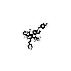 O=C1c2c(nc(CCC3CCOCC3)c(-c3cc(=O)[nH]o3)c2-c2ccc3c(ccn3Cc3ccc(F)c(F)c3)c2)[C@@H]2CCCN12